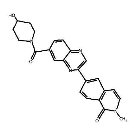 Cn1ccc2cc(-c3cnc4ccc(C(=O)N5CCC(O)CC5)cc4n3)ccc2c1=O